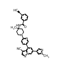 C#Cc1cccc(C(=O)NC2(C)CCN(c3ccc(-c4cc(-c5cnn(C)c5)cn5ncc(C#N)c45)cn3)CC2)c1